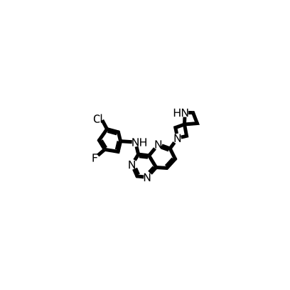 Fc1cc(Cl)cc(Nc2ncnc3ccc(N4CC5(CCN5)C4)nc23)c1